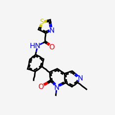 Cc1cc2c(cn1)cc(-c1cc(NC(=O)c3cscn3)ccc1C)c(=O)n2C